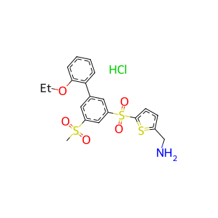 CCOc1ccccc1-c1cc(S(C)(=O)=O)cc(S(=O)(=O)c2ccc(CN)s2)c1.Cl